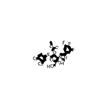 CCOC(=O)CO[C@@H]1[C@@H](n2cc(-c3cc(F)c(F)c(F)c3)nn2)[C@@H](O)[C@@H](CO)O[C@@H]1Sc1ccc(Cl)c(Cl)c1